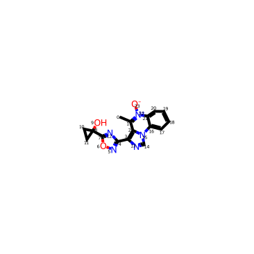 Cc1c2c(-c3noc(C4(O)CC4)n3)ncn2c2ccccc2[n+]1[O-]